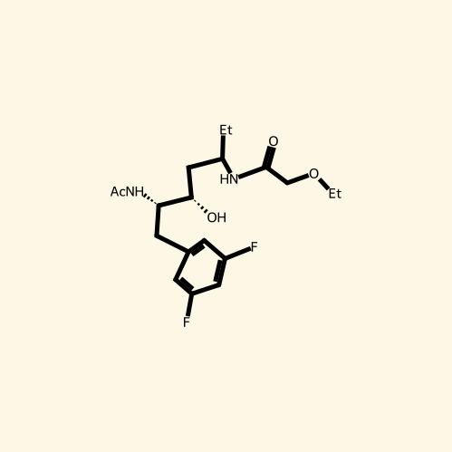 CCOCC(=O)NC(CC)C[C@H](O)[C@H](Cc1cc(F)cc(F)c1)NC(C)=O